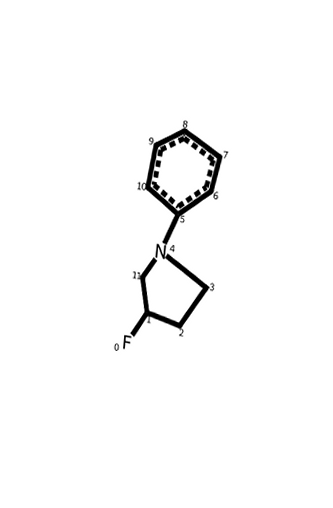 FC1CCN(c2cc[c]cc2)C1